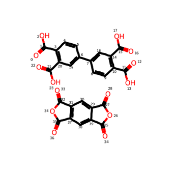 O=C(O)c1ccc(-c2ccc(C(=O)O)c(C(=O)O)c2)cc1C(=O)O.O=c1oc(=O)c2cc3c(=O)oc(=O)c3cc12